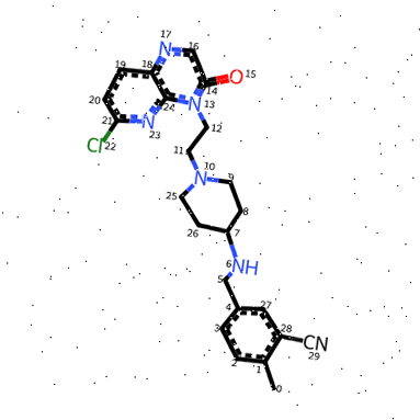 Cc1ccc(CNC2CCN(CCn3c(=O)cnc4ccc(Cl)nc43)CC2)cc1C#N